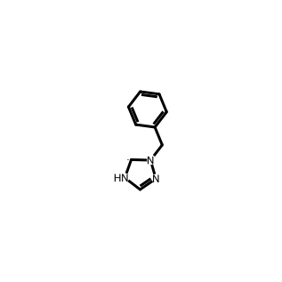 [CH]1NC=NN1Cc1ccccc1